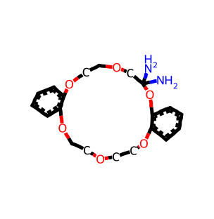 NC1(N)COCCOc2ccccc2OCCOCCOc2ccccc2O1